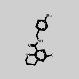 CC(C)(C)c1ccc(CNC(=O)c2cc(Cl)cc3c2NCCC3)cc1